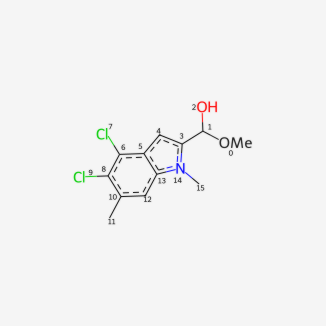 COC(O)c1cc2c(Cl)c(Cl)c(C)cc2n1C